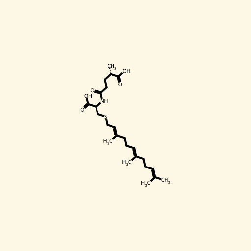 CC(C)=CCC/C(C)=C/CC/C(C)=C/CSC[C@H](NC(=O)CC[C@H](C)C(=O)O)C(=O)O